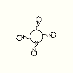 C1CCN(CCC2CCCC(CCN3CCCCC3)CCN(CCN3CCCCC3)CCCC(CCN3CCCCC3)CC2)CC1